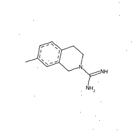 Cc1ccc2c(c1)CN(C(=N)N)CC2